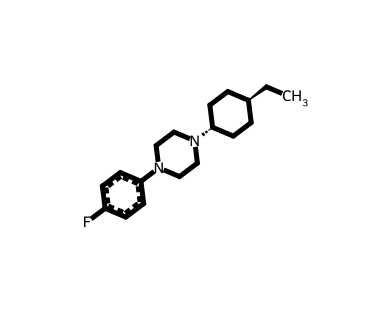 CC[C@H]1CC[C@H](N2CCN(c3ccc(F)cc3)CC2)CC1